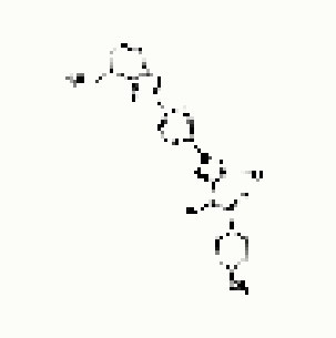 CCOC(=O)c1cn(-c2ccc(-c3cn4cccc(CN)c4n3)cc2)nc1N(C(=O)C1CCC(C)CC1)C(C)C